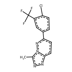 Cc1nnc2ccc(-c3ccc(Cl)c(C(F)(F)F)c3)nn12